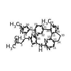 CN(C)CCn1cc(Nc2ncc3c(n2)-c2c(nn(C)c2-c2ccc(-c4cnn(C)c4)nc2)CC3)cn1